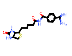 N=C(N)c1ccc(C(=O)NC(=O)CCCCC2SCC3NC(=O)NC32)cc1